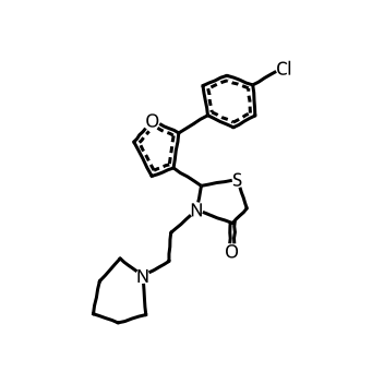 O=C1CSC(c2ccoc2-c2ccc(Cl)cc2)N1CCN1CCCCC1